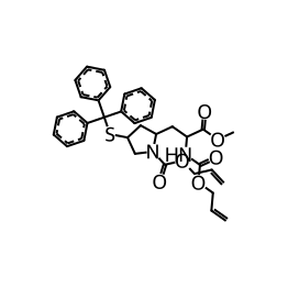 C=CCOC(=O)NC(CC1CC(SC(c2ccccc2)(c2ccccc2)c2ccccc2)CN1C(=O)OCC=C)C(=O)OC